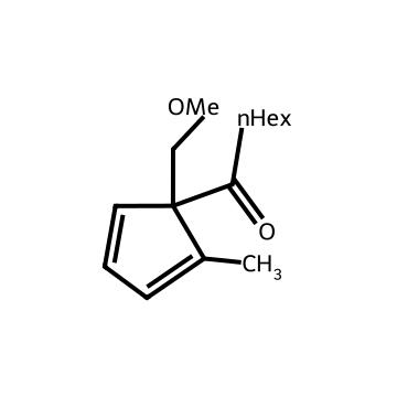 CCCCCCC(=O)C1(COC)C=CC=C1C